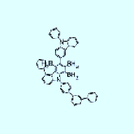 Bc1c(-c2ccc3c(c2)c2ccccc2n3-c2ccccc2)c(B)c2c3c(-c4ccccc4)cccc3n(-c3ccc(-c4cccc(-c5ccccc5)c4)cc3)c2c1B